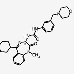 CN1C(=O)[C@H](NC(=O)Nc2cccc(CN3CCOCC3)c2)N=C(C2CCCCC2)c2ccccc21